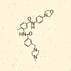 Cc1ccc(C(=O)Nc2ccc(N3CCOCC3)cc2)cc1NC(=O)c1cccc(CN2CCN(C)CC2)c1